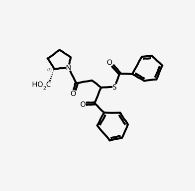 O=C(SC(CC(=O)N1CCC[C@H]1C(=O)O)C(=O)c1ccccc1)c1ccccc1